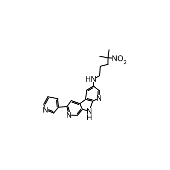 CC(C)(CCCNc1cnc2[nH]c3cnc(-c4cccnc4)cc3c2c1)[N+](=O)[O-]